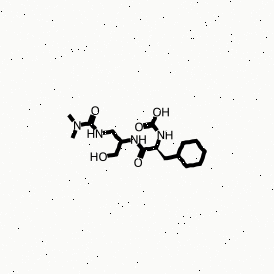 CN(C)C(=O)NCC(CO)NC(=O)[C@H](CC1CCCCC1)NC(=O)O